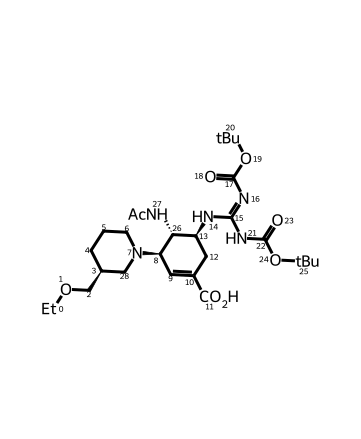 CCOC[C@H]1CCCN([C@@H]2C=C(C(=O)O)C[C@H](N/C(=N\C(=O)OC(C)(C)C)NC(=O)OC(C)(C)C)[C@H]2NC(C)=O)C1